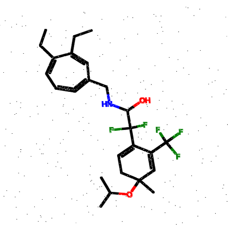 CCC1=CC=C=C(CNC(O)C(F)(F)C2=CCC(C)(OC(C)C)C=C2C(F)(F)F)C=C1CC